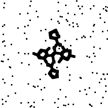 Cc1cc(C)c(/C(OC(=O)c2ccco2)=C(\OC(=O)c2ccco2)c2c(C)cc(C)cc2C)c(C)c1